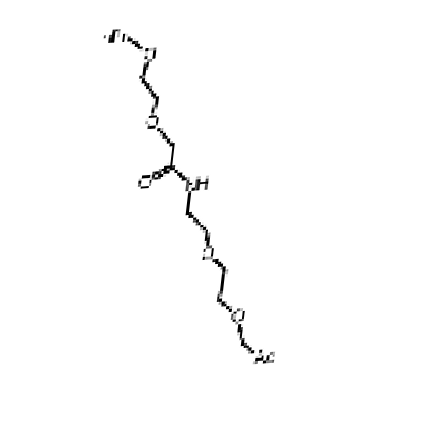 CCCOCCOCC(=O)NCCOCCOCC(C)=O